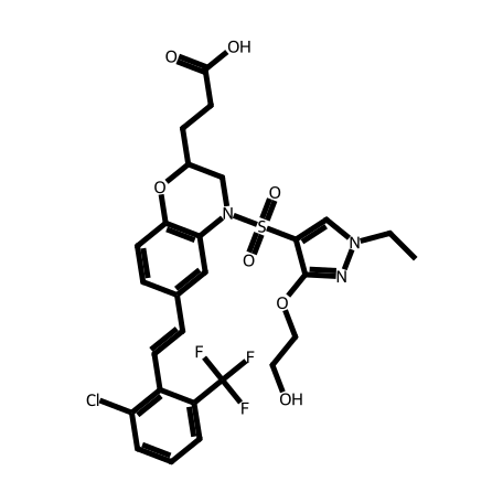 CCn1cc(S(=O)(=O)N2CC(CCC(=O)O)Oc3ccc(C=Cc4c(Cl)cccc4C(F)(F)F)cc32)c(OCCO)n1